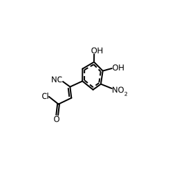 N#CC(=CC(=O)Cl)c1cc(O)c(O)c([N+](=O)[O-])c1